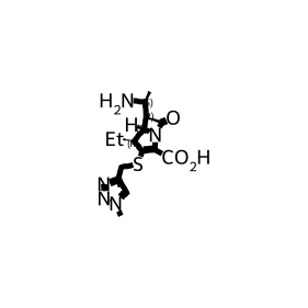 CC[C@H]1C(SCc2cn(C)nn2)=C(C(=O)O)N2C(=O)[C@H]([C@H](C)N)[C@@H]12